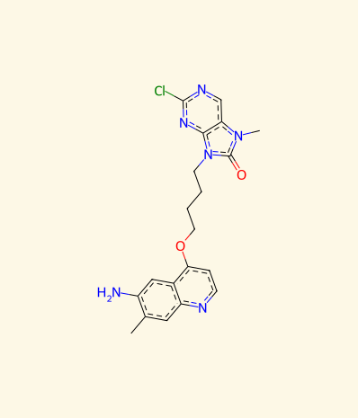 Cc1cc2nccc(OCCCCn3c(=O)n(C)c4cnc(Cl)nc43)c2cc1N